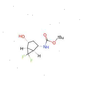 CC(C)(C)OC(=O)N[C@H]1C[C@@H](O)[C@H]2[C@@H]1C2(F)F